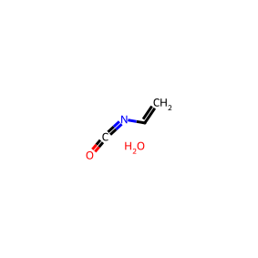 C=CN=C=O.O